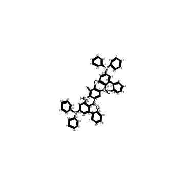 Cc1c2c(cc3c1Oc1cc(N(c4ccccc4)c4ccccc4)cc4c1B3Oc1ccccc1-4)B1Oc3ccccc3-c3cc(N(c4ccccc4)c4ccccc4)cc(c31)N2